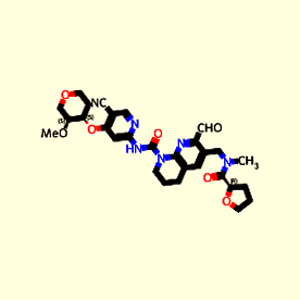 CO[C@H]1COCC[C@@H]1Oc1cc(NC(=O)N2CCCc3cc(CN(C)C(=O)[C@H]4CCCO4)c(C=O)nc32)ncc1C#N